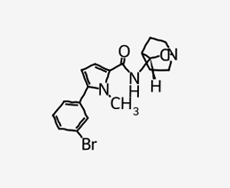 Cn1c(C(=O)N[C@H]2CN3CCC2CC3)ccc1-c1cccc(Br)c1